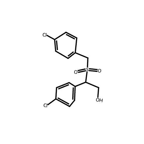 O=S(=O)(Cc1ccc(Cl)cc1)C(CO)c1ccc(Cl)cc1